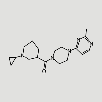 Cc1nccc(N2CCN(C(=O)C3CCCN(C4CC4)C3)CC2)n1